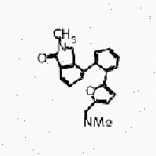 CNCc1ccc(-c2ccccc2-c2cccc3c2CN(C)C3=O)o1